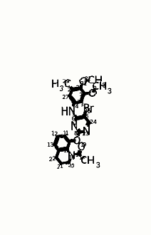 COc1cc(Nc2nc(Oc3cccc4c3N(C(C)=O)CCC4)ncc2Br)cc(C)c1OC